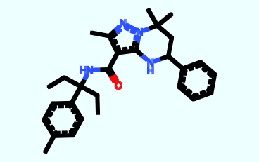 CCC(CC)(NC(=O)c1c(C)nn2c1NC(c1ccccc1)CC2(C)C)c1ccc(C)cc1